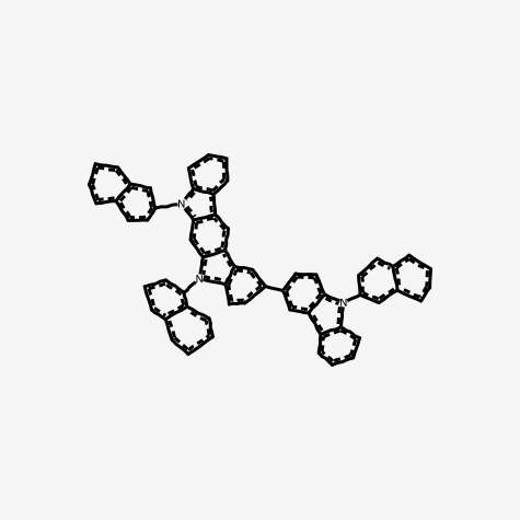 c1ccc2cc(-n3c4ccccc4c4cc(-c5ccc6c(c5)c5cc7c8ccccc8n(-c8ccc9ccccc9c8)c7cc5n6-c5cccc6ccccc56)ccc43)ccc2c1